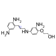 Nc1ccc(N)c(/C=C/CNc2ccc(OCCO)c(N)c2)c1